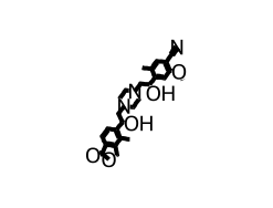 COc1cc(C(O)CN2CCN(CC(O)c3ccc4c(c3C)COC4=O)CC2)c(C)cc1C#N